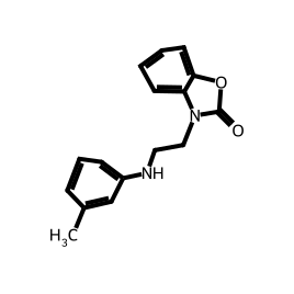 Cc1cccc(NCCn2c(=O)oc3ccccc32)c1